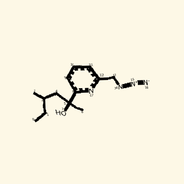 CCC(C)CC(C)(O)c1cccc(CN=[N+]=[N-])n1